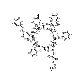 NCCNC(=O)O[C@@H]1C[C@H]2C(=O)N[C@@H](CCc3ccccc3)C(=O)N[C@@H](Cc3c[nH]c4ccccc34)C(=O)NC(CC3CCNCC3)C(=O)N[C@@H](Cc3ccc(OCc4ccccc4)cc3)C(=O)N[C@@H](Cc3ccccc3)C(=O)N2C1